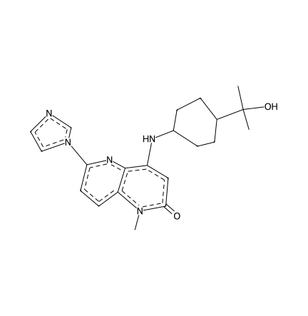 Cn1c(=O)cc(NC2CCC(C(C)(C)O)CC2)c2nc(-n3ccnc3)ccc21